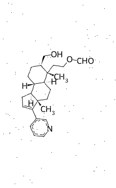 C[C@]1(CCOC=O)[C@H](CO)CC[C@@H]2[C@@H]1CC[C@]1(C)C(c3cccnc3)=CC[C@@H]21